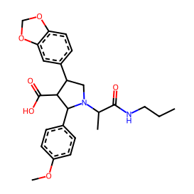 CCCNC(=O)C(C)N1CC(c2ccc3c(c2)OCO3)C(C(=O)O)C1c1ccc(OC)cc1